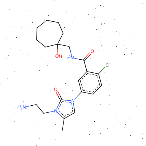 Cc1cn(-c2ccc(Cl)c(C(=O)NCC3(O)CCCCCC3)c2)c(=O)n1CCN